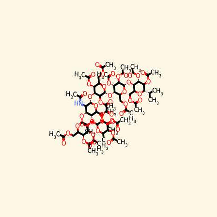 CC(=O)NC1[C@H](O[C@@H]2C(OC(C)=O)[C@@H](O[C@H]3C(COC(C)=O)O[C@@H](O[C@@H]4C(COC(C)=O)O[C@@H](C(C)C)C(OC(C)=O)[C@H]4OC(C)=O)C(OC(C)=O)[C@H]3OC(C)=O)OC(COC(C)=O)[C@@H]2OC(C)=O)OC(COC(C)=O)[C@H](OC(C)=O)[C@@H]1O[C@@H]1OC(COC(C)=O)[C@H](OC(C)=O)[C@H](OC(C)=O)C1OC1OC(C)C(OC(C)=O)[C@H](OC(C)=O)[C@H]1OC(C)=O